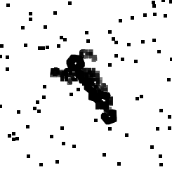 COc1ccc(C)cc1C(C)(C)CC(O)(Cc1cc2nc(N3CCCC3)ncc2[nH]1)C(F)(F)F